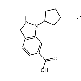 O=C(O)c1ccc2c(c1)N(C1CCCC1)NC2